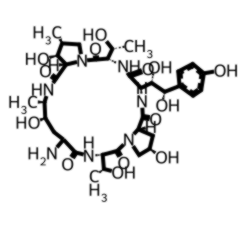 C[C@@H](O)[C@@H]1NC(=O)[C@H]([C@H](O)[C@@H](O)c2ccc(O)cc2)NC(=O)[C@@H]2C[C@@H](O)CN2C(=O)[C@H]([C@@H](C)O)NC(=O)C(N)C[C@@H](O)[C@@H](C)NC(=O)[C@@H]2[C@@H](O)[C@@H](C)CN2C1=O